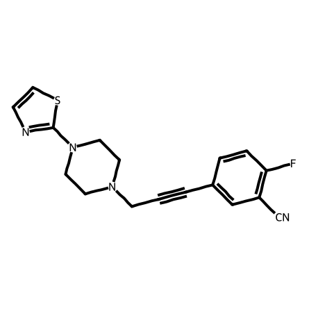 N#Cc1cc(C#CCN2CCN(c3nccs3)CC2)ccc1F